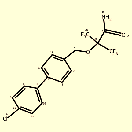 NC(=O)C(OCc1ccc(-c2ccc(Cl)cc2)cc1)(C(F)(F)F)C(F)(F)F